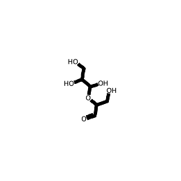 O=CC(CO)OC(O)C(O)CO